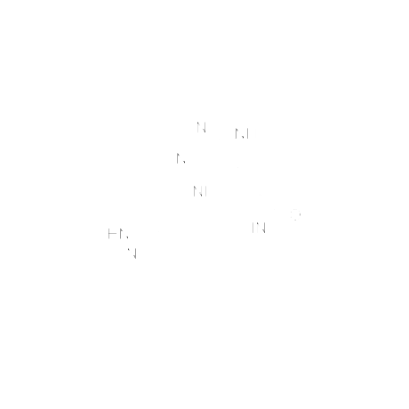 O=C(Nc1ccccc1)[C@H]1CCc2[nH]c3ncnc(Nc4ccc5[nH]ncc5c4)c3c2C1